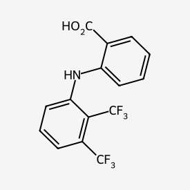 O=C(O)c1ccccc1Nc1cccc(C(F)(F)F)c1C(F)(F)F